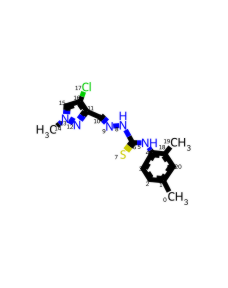 Cc1ccc(NC(=S)NN=Cc2nn(C)cc2Cl)c(C)c1